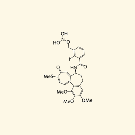 COc1cc2c(c(OC)c1OC)-c1ccc(SC)c(=O)cc1[C@@H](NC(=O)c1cccc(CON(O)O)c1I)CC2